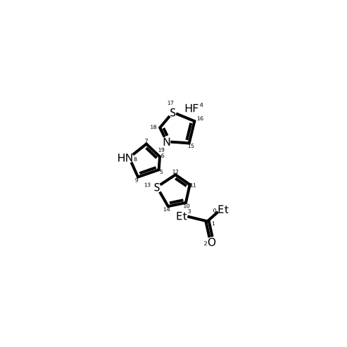 CCC(=O)CC.F.c1cc[nH]c1.c1ccsc1.c1cscn1